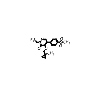 CC1(COc2c(-c3ccc(S(C)(=O)=O)cc3)cnn(CC(F)(F)F)c2=O)CC1